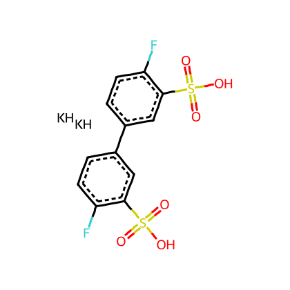 O=S(=O)(O)c1cc(-c2ccc(F)c(S(=O)(=O)O)c2)ccc1F.[KH].[KH]